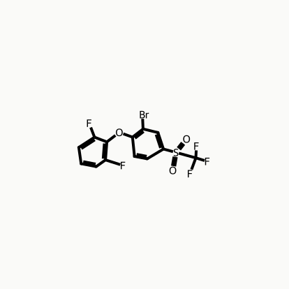 O=S(=O)(c1ccc(Oc2c(F)cccc2F)c(Br)c1)C(F)(F)F